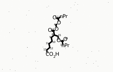 CCCC(=O)OCOC(=O)C(CCCCCC(=O)O)COC(=O)CCC